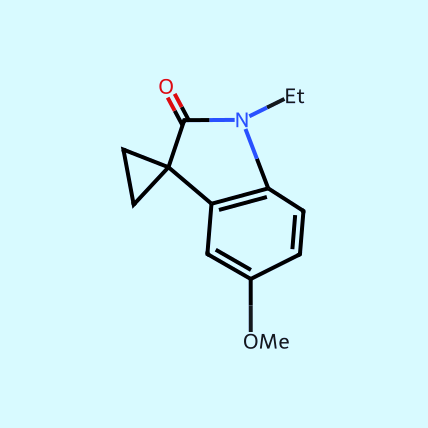 CCN1C(=O)C2(CC2)c2cc(OC)ccc21